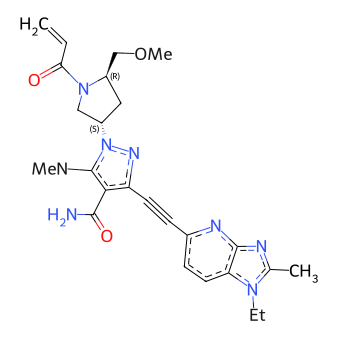 C=CC(=O)N1C[C@@H](n2nc(C#Cc3ccc4c(n3)nc(C)n4CC)c(C(N)=O)c2NC)C[C@@H]1COC